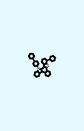 c1ccc(-c2ccc(-n3c4ccccc4c4c5ccccc5c5sc6c(-c7ccccc7)cccc6c5c43)cc2)cc1